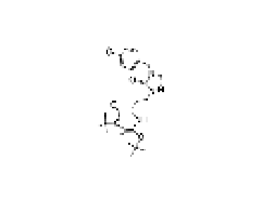 COc1ccc(Cn2cnn(CC[C@H](NC(=O)OC(C)(C)C)C(=O)OC(C)(C)C)c2=O)cc1